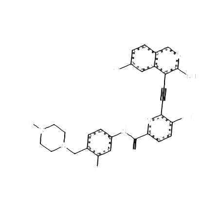 Cc1ccc(C(=O)Nc2ccc(CN3CCN(C)CC3)c(C(F)(F)F)c2)nc1C#Cc1c(N)ncc2ccc(Cl)cc12